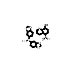 O=[N+]([O-])c1ccc(O)c2ncccc12.OB(c1ccc2c(c1)OCO2)c1ccc2c(c1)OCO2